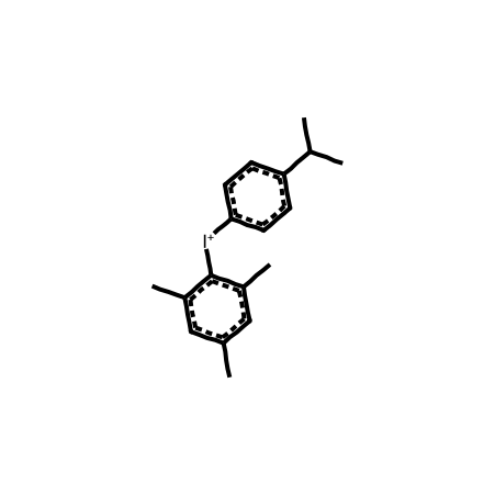 Cc1cc(C)c([I+]c2ccc(C(C)C)cc2)c(C)c1